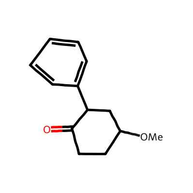 COC1CCC(=O)C(c2ccccc2)C1